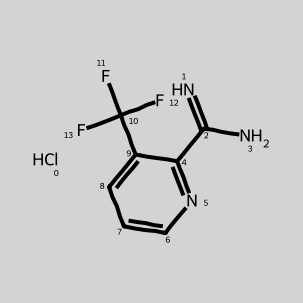 Cl.N=C(N)c1ncccc1C(F)(F)F